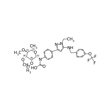 CCn1nc(-c2ccc(N(C(=O)O)[C@H]3O[C@@H](C)[C@H](OC)[C@@H](OC)[C@H]3OC)cc2)cc1NCc1ccc(OC(F)(F)F)cc1